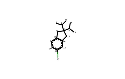 CC(C)C1(C(C)C)Cc2ccc(F)cc2C1